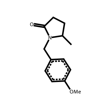 COc1ccc(CN2C(=O)CCC2C)cc1